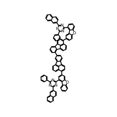 c1ccc(-c2nc(-c3ccc4ccccc4c3)nc(-c3cc(-c4ccc5c6c(cccc46)-c4cc(-c6cccc7c6-c6cccc8c(-c9ccc%10oc%11cccc(-c%12nc(-c%13ccccc%13)nc(-c%13ccc%14ccccc%14c%13)n%12)c%11c%10c9)ccc-7c68)ccc4-5)cc4oc5ccccc5c34)n2)cc1